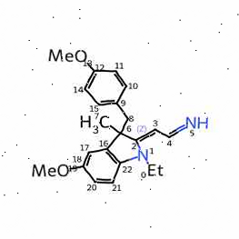 CCN1/C(=C\C=N)C(C)(Cc2ccc(OC)cc2)c2cc(OC)ccc21